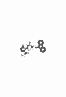 C[C@H](NC(=O)OCC1c2ccccc2-c2ccccc21)C(=O)N1C(=O)CC[C@H]1C(=O)C#N